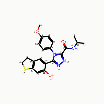 COc1ccc(-n2c(C(=O)NC(C)C)nnc2-c2cc3c(cc2O)SCC3)cc1